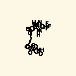 COc1cc2nc(C)nc(N[C@H](C)c3cc(N)cc(C(F)(F)F)c3)c2cc1OCCCC#Cc1cccc2c1C(=O)N(C1CCC(=O)NC1=O)C2=O